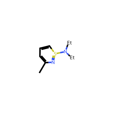 CCN(CC)S1=NC(C)=CC=C1